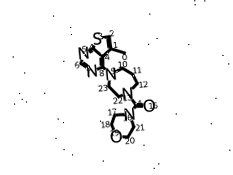 Cc1csc2ncnc(N3CCCN(C(=O)N4CCOCC4)CC3)c12